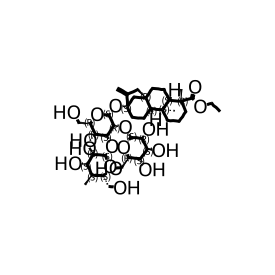 C=C1C[C@@]23CC[C@H]4[C@@](C)(CCC[C@@]4(C)C(=O)OCC)[C@@H]2CC[C@]1(O[C@@H]1O[C@H](CO)[C@@H](O)[C@H](O[C@@H]2O[C@H](CO)[C@@H](C)[C@H](O)[C@H]2O)[C@H]1O[C@@H]1O[C@H](CO)[C@@H](O)[C@H](O)[C@H]1O)C3